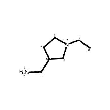 CCN1CCC(CN)C1